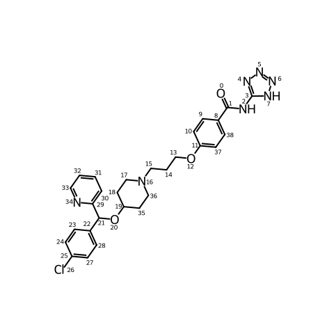 O=C(Nc1nnn[nH]1)c1ccc(OCCCN2CCC(OC(c3ccc(Cl)cc3)c3ccccn3)CC2)cc1